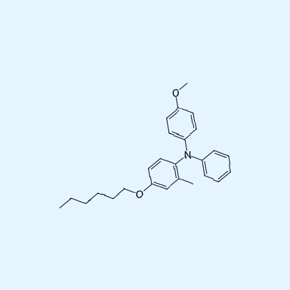 CCCCCCOc1ccc(N(c2ccccc2)c2ccc(OC)cc2)c(C)c1